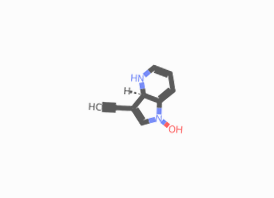 C#CC1=CN(O)C2=CC=CN[C@H]12